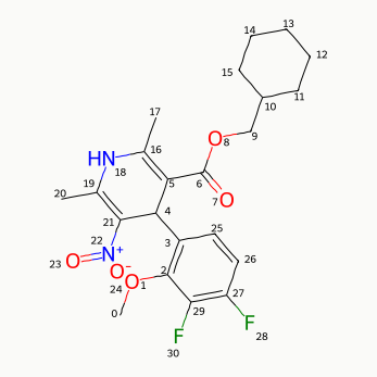 COc1c(C2C(C(=O)OCC3CCCCC3)=C(C)NC(C)=C2[N+](=O)[O-])ccc(F)c1F